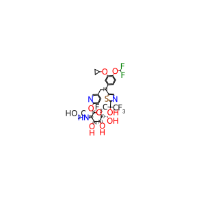 O=C(O)N[C@H]1[C@H](Oc2ccc(C[C@@H](c3ccc(OC(F)F)c(OC4CC4)c3)c3cnc(C(O)(C(F)(F)F)C(F)(F)F)s3)cn2)O[C@H](CO)[C@@H](O)[C@@H]1O